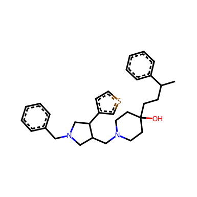 CC(CCC1(O)CCN(CC2CN(Cc3ccccc3)CC2c2ccsc2)CC1)c1ccccc1